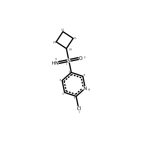 N=S(=O)(c1ccc(Cl)nc1)C1CCC1